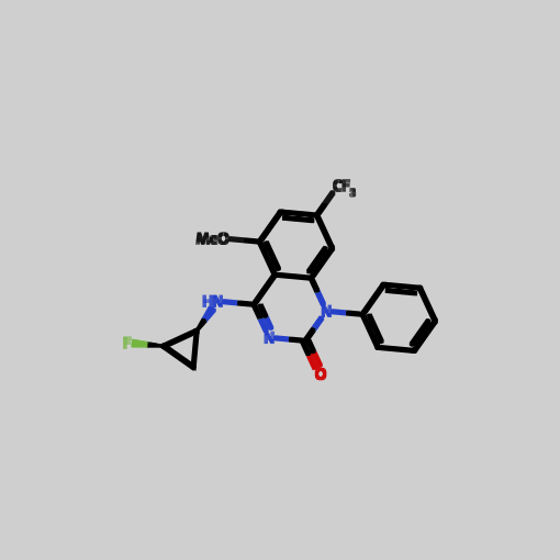 COc1cc(C(F)(F)F)cc2c1c(N[C@H]1C[C@H]1F)nc(=O)n2-c1ccccc1